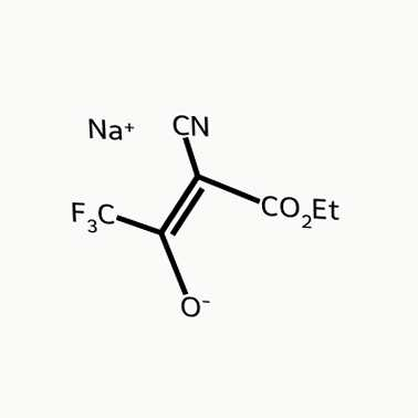 CCOC(=O)C(C#N)=C([O-])C(F)(F)F.[Na+]